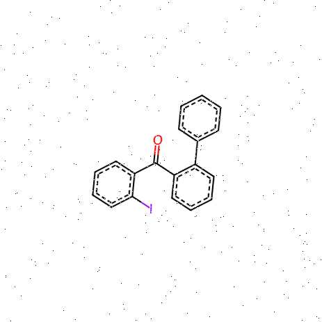 O=C(c1ccccc1I)c1ccccc1-c1ccccc1